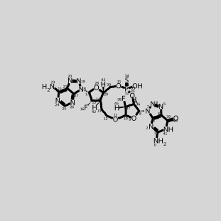 Nc1nc2c(nnn2[C@@H]2OC3OCC[C@H]4[C@H](F)[C@H](n5nnc6c(N)ncnc65)O[C@@H]4COP(O)(=S)O[C@@H]2[C@H]3F)c(=O)[nH]1